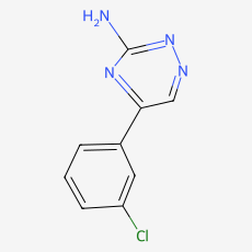 Nc1nncc(-c2cccc(Cl)c2)n1